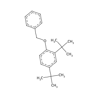 CC(C)(C)c1ccc(OCc2ccccc2)c(C(C)(C)C)c1